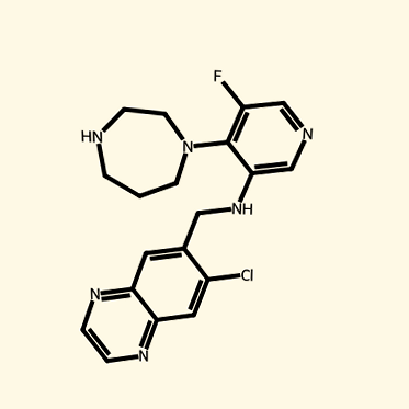 Fc1cncc(NCc2cc3nccnc3cc2Cl)c1N1CCCNCC1